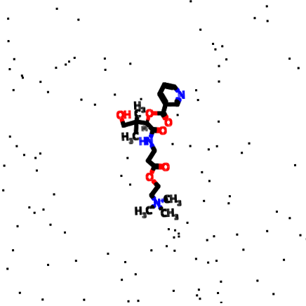 CC(C)(CO)[C@@H](OC(=O)c1cccnc1)C(=O)NCCC(=O)OCC[N+](C)(C)C